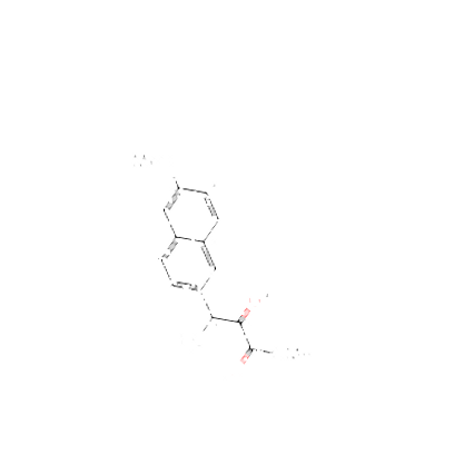 COC(=O)C(=O)C(C)c1ccc2cc(OC)ccc2c1